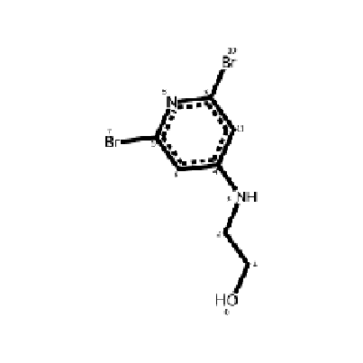 OCCNc1cc(Br)nc(Br)c1